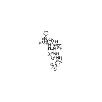 CN(C[C@@H](NC(=O)N[C@H](C(=O)N1C[C@H]2[C@@H]([C@H]1C(=O)N[C@@H](CC(F)F)C(=O)NC1CCCC1)C2(C)C)C(C)(C)C)C(C)(C)C)S(C)(=O)=O